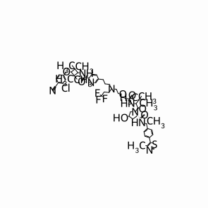 Cc1ncsc1-c1ccc([C@H](C)NC(=O)[C@@H]2C[C@@H](O)CN2C(=O)[C@@H](NC(=O)COCCN(CCCc2ccc(C(=O)NC3C(C)(C)C(Oc4ccc(C#N)c(Cl)c4)C3(C)C)nc2)CCC(F)(F)F)C(C)(C)C)cc1